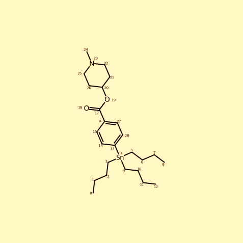 CCC[CH2][Sn]([CH2]CCC)([CH2]CCC)[c]1ccc(C(=O)OC2CCN(C)CC2)cc1